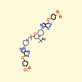 CC(=O)C(C)(C)C(CC(=O)C(C)(C)CN1CCC(n2ncc3c(Oc4ccc(S(C)(=O)=O)cc4)ncnc32)CC1)N1CCC(n2ncc3c(Oc4ccc(S(C)(=O)=O)cc4)ncnc32)CC1